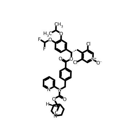 CC(C)Oc1cc([C@H](Cc2c(Cl)c[n+]([O-])cc2Cl)OC(=O)c2ccc(CN(C(=O)O[C@H]3CN4CCC3CC4)c3ccccn3)cc2)ccc1OC(F)F